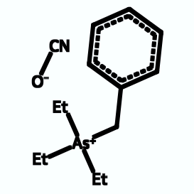 CC[As+](CC)(CC)Cc1ccccc1.N#C[O-]